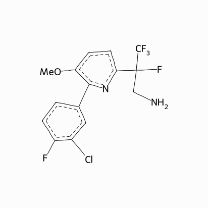 COc1ccc(C(F)(CN)C(F)(F)F)nc1-c1ccc(F)c(Cl)c1